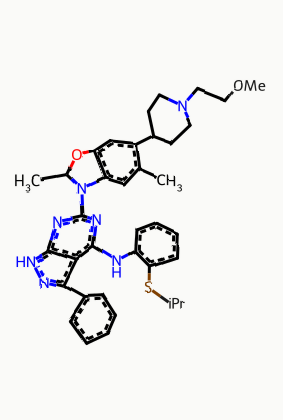 COCCN1CCC(c2cc3c(cc2C)N(c2nc(Nc4ccccc4SC(C)C)c4c(-c5ccccc5)n[nH]c4n2)C(C)O3)CC1